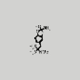 BC(B)(Cc1ccc2c(c1)OC(B)(O)O2)NC